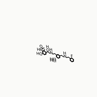 Cl.Cl.O=c1[nH]c2c(O)ccc(C(O)CNCCc3cccc(CCNCCc4ccccc4F)c3)c2s1